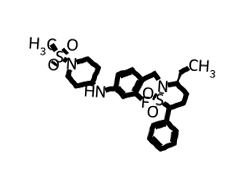 CC[C@H]1CCC(c2ccccc2)S(=O)(=O)N1Cc1ccc(NC2CCN(S(C)(=O)=O)CC2)cc1F